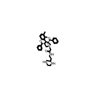 Cc1cccc(C2[C@@H](C(=O)c3ccccc3)CN(CC(=O)NCCC3CNCCN3)C[C@@H]2C(=O)c2ccccc2)c1C